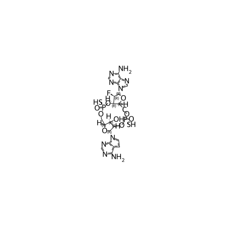 Nc1ncnc2c1ccn2[C@@H]1O[C@@H]2COP(=O)(S)O[C@H]3[C@@H](F)[C@H](n4cnc5c(N)ncnc54)O[C@@H]3COP(=O)(S)O[C@@H]1[C@@H]2O